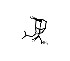 CC(C)CN1CC2CC3CC1C2(C(N)=O)NC3=O